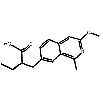 CCC(Cc1ccc2cc(OC)nc(C)c2c1)C(=O)O